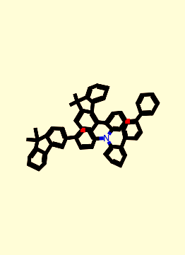 CC1(C)c2ccccc2-c2cc(-c3ccc(N(c4ccccc4-c4ccc(-c5ccccc5)cc4)c4ccccc4-c4cccc5c4-c4ccccc4C5(C)C)cc3)ccc21